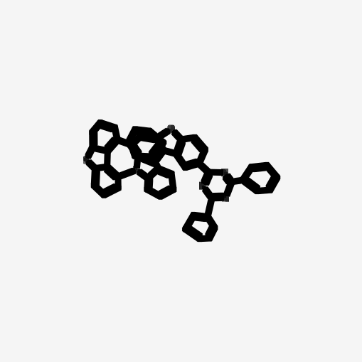 c1ccc(-c2nc(-c3ccccc3)nc(-c3ccc4oc5cc(-c6cccc7sc8cccc(-n9c%10ccccc%10c%10ccccc%109)c8c67)ccc5c4c3)n2)cc1